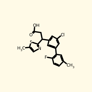 Cc1ccc(F)c(-c2cc(Cl)cc(C(CC(=O)O)c3ncc(C)s3)c2)c1